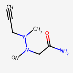 C#CCN(C)N(CC(N)=O)N=O